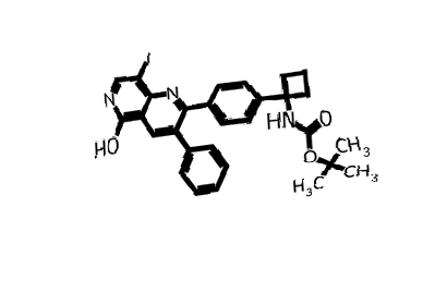 CC(C)(C)OC(=O)NC1(c2ccc(-c3nc4c(I)cnc(O)c4cc3-c3ccccc3)cc2)CCC1